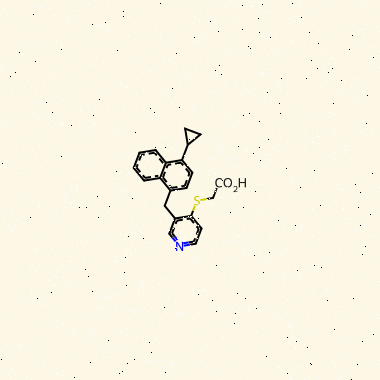 O=C(O)CSc1ccncc1Cc1ccc(C2CC2)c2ccccc12